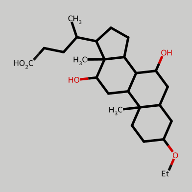 CCOC1CCC2(C)C(C1)CC(O)C1C2CC(O)C2(C)C(C(C)CCC(=O)O)CCC12